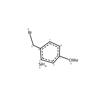 COc1ccc(CBr)cc1.[SiH4]